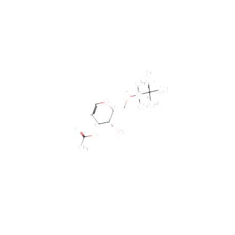 CC(=O)O[C@@H]1C=CO[C@H](CO[Si](C)(C)C(C)(C)C)[C@H]1O